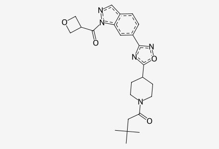 CC(C)(C)CC(=O)N1CCC(c2nc(-c3ccc4cnn(C(=O)C5COC5)c4c3)no2)CC1